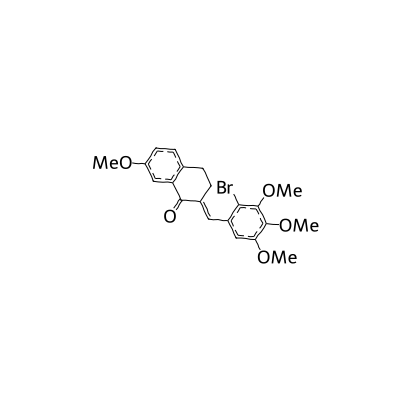 COc1ccc2c(c1)C(=O)C(=Cc1cc(OC)c(OC)c(OC)c1Br)CC2